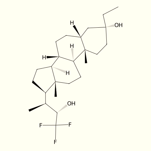 CC[C@@]1(O)CC[C@@]2(C)[C@H](CC[C@@H]3[C@@H]2CC[C@]2(C)[C@@H]([C@H](C)[C@H](O)C(F)(F)F)CC[C@@H]32)C1